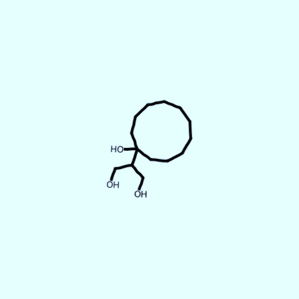 OCC(CO)C1(O)CCCCCCCCCC1